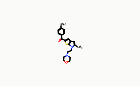 CNc1ccc(C(=O)c2cc3cc(C)n(CCN4CCOCC4)c3s2)cc1